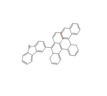 C1=CCC2C(=C1)C(C1=CC=CCC1c1cccc3ccccc13)=c1ccccc1=C2c1ccc2sc3ccccc3c2c1